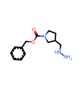 NNCC1CCN(C(=O)OCc2ccccc2)C1